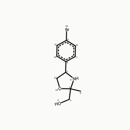 CC1(CO)NC(c2ccc(Br)cc2)CO1